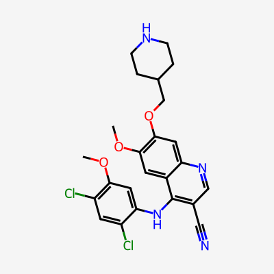 COc1cc(Nc2c(C#N)cnc3cc(OCC4CCNCC4)c(OC)cc23)c(Cl)cc1Cl